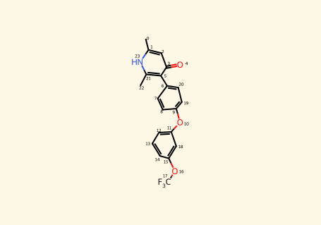 Cc1cc(=O)c(-c2ccc(Oc3cccc(OC(F)(F)F)c3)cc2)c(C)[nH]1